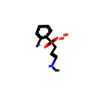 [B+2]c1ccccc1S(=O)(=O)CC=CNC(C)(C)C.[OH-].[OH-]